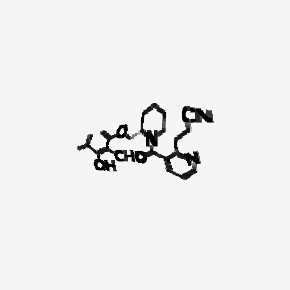 C=C(C)/C(O)=C(/C=O)C(=C)OC[C@@H]1CCCCN1C(=O)c1cccnc1CCC#N